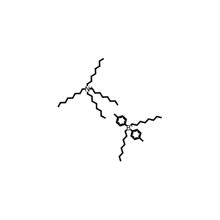 CCCCCCCC[B-](CCCCCCCC)(c1ccc(C)cc1)c1ccc(C)cc1.CCCCCCCC[N+](CCCCCCCC)(CCCCCCCC)CCCCCCCC